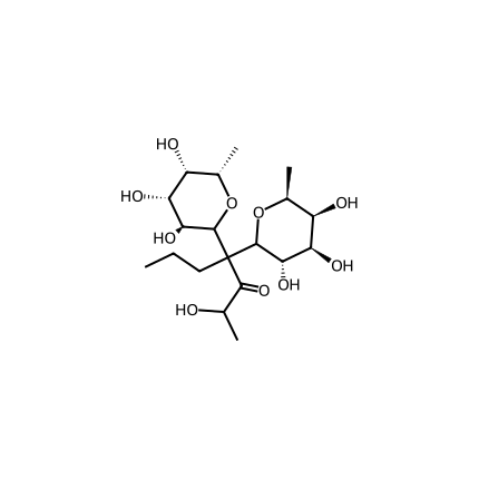 CCCC(C(=O)C(C)O)(C1O[C@@H](C)[C@@H](O)[C@@H](O)[C@@H]1O)C1O[C@@H](C)[C@@H](O)[C@@H](O)[C@@H]1O